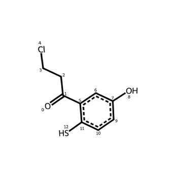 O=C(CCCl)c1cc(O)ccc1S